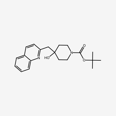 CC(C)(C)OC(=O)N1CCC(O)(Cc2ccc3ccccc3n2)CC1